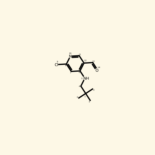 CC(C)(C)CNc1cc(Cl)ncc1C=O